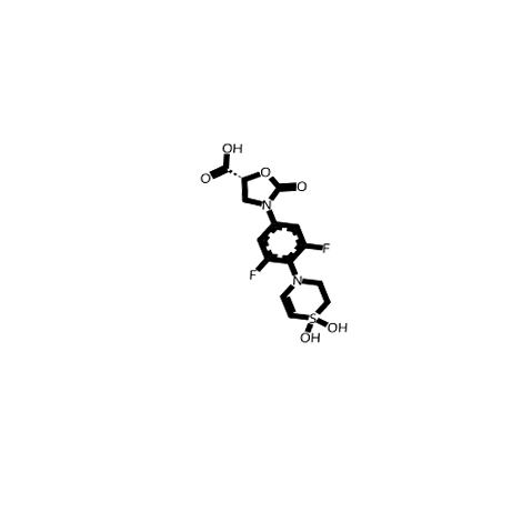 O=C(O)[C@H]1CN(c2cc(F)c(N3C=CS(O)(O)CC3)c(F)c2)C(=O)O1